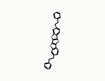 c1ccc(CCc2ccc3c(c2)sc2c3sc3c4ccc(CCc5ccccc5)cc4sc32)cc1